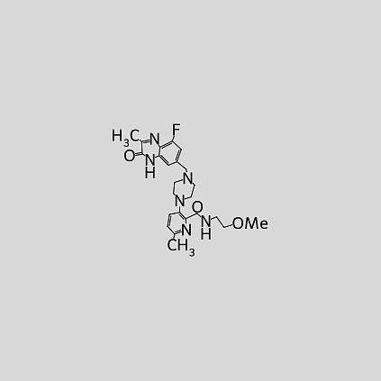 COCCNC(=O)c1nc(C)ccc1N1CCN(Cc2cc(F)c3nc(C)c(=O)[nH]c3c2)CC1